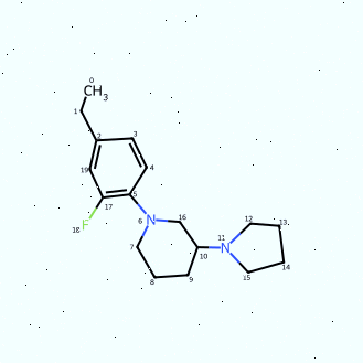 CCc1ccc(N2CCCC(N3CCCC3)C2)c(F)c1